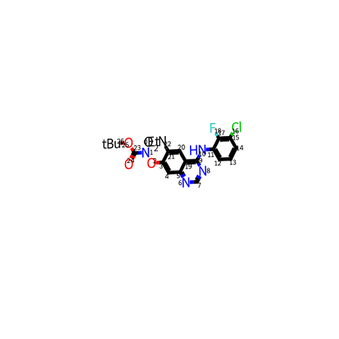 CCN(Oc1cc2ncnc(Nc3cccc(Cl)c3F)c2cc1[N+](=O)[O-])C(=O)OC(C)(C)C